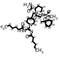 CCCCCC(=O)N=C(NC(=O)CCCCC)N1CC=C(C[N+]2(C(=O)[C@@H](Cc3ccccc3)NS(C)(=O)=O)CCC[C@H]2C(N)=O)CC1